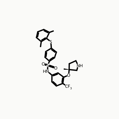 Cc1cccc(C)c1Sc1ccc(S(=O)(=O)Nc2ccc(C(F)(F)F)c(O[C@]3(C)CCNC3)c2)cc1